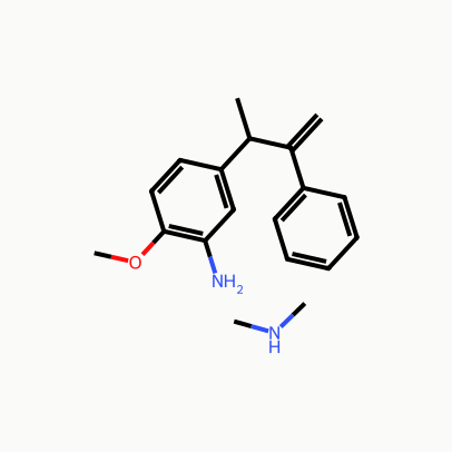 C=C(c1ccccc1)C(C)c1ccc(OC)c(N)c1.CNC